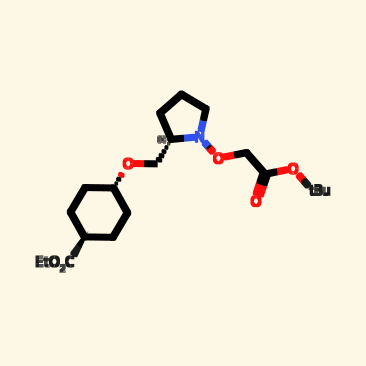 CCOC(=O)[C@H]1CC[C@H](OC[C@@H]2CCCN2OCC(=O)OC(C)(C)C)CC1